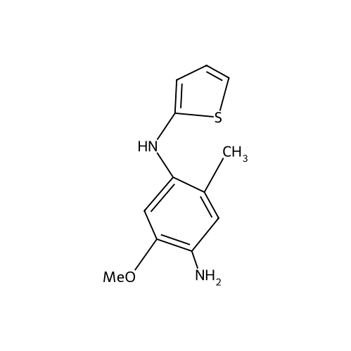 COc1cc(Nc2cccs2)c(C)cc1N